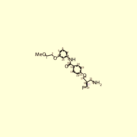 COCCOc1cccc(NC(=O)c2ccc(OC/C(=C\F)CN)cc2)c1